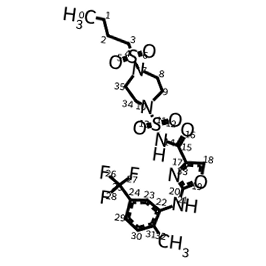 CCCCS(=O)(=O)N1CCN(S(=O)(=O)NC(=O)c2coc(Nc3cc(C(F)(F)F)ccc3C)n2)CC1